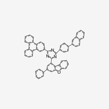 c1ccc(-c2cc(-c3nc(-c4ccc(-c5ccc6ccccc6c5)cc4)nc(-c4ccc5c6ccccc6c6ccccc6c5c4)n3)c3c(c2)oc2ccccc23)cc1